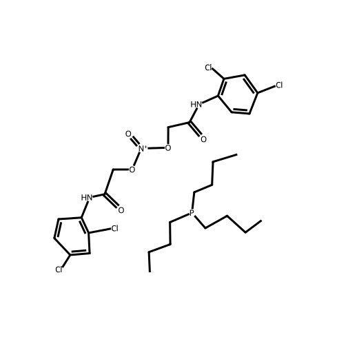 CCCCP(CCCC)CCCC.O=C(CO[N+](=O)OCC(=O)Nc1ccc(Cl)cc1Cl)Nc1ccc(Cl)cc1Cl